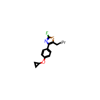 CC(C)Cc1sc(F)nc1-c1ccc(OC2CC2)cc1